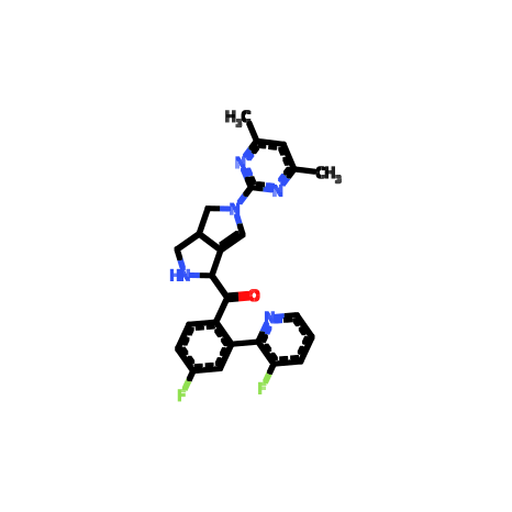 Cc1cc(C)nc(N2C=C3C(CNC3C(=O)c3ccc(F)cc3-c3ncccc3F)C2)n1